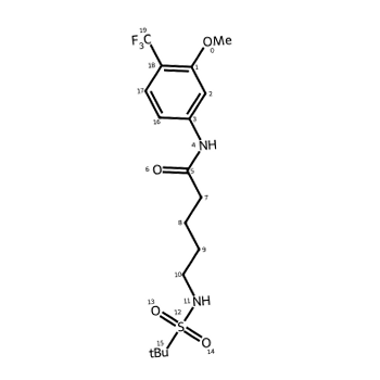 COc1cc(NC(=O)CCCCNS(=O)(=O)C(C)(C)C)ccc1C(F)(F)F